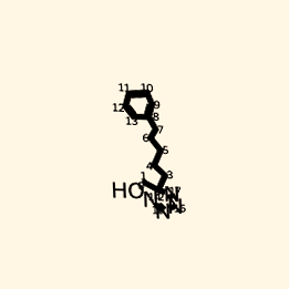 OCC1(CCCCCc2ccccc2)N=NN=N1